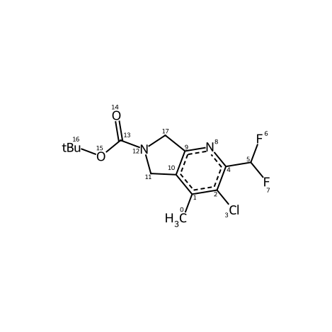 Cc1c(Cl)c(C(F)F)nc2c1CN(C(=O)OC(C)(C)C)C2